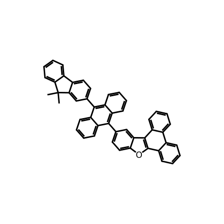 CC1(C)c2ccccc2-c2ccc(-c3c4ccccc4c(-c4ccc5oc6c7ccccc7c7ccccc7c6c5c4)c4ccccc34)cc21